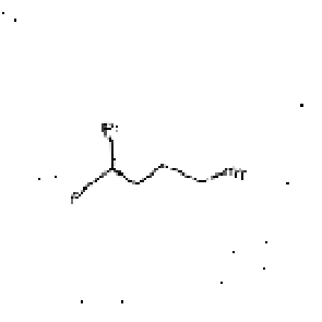 CCCCCCC(F)[P]